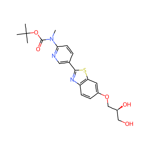 CN(C(=O)OC(C)(C)C)c1ccc(-c2nc3ccc(OC[C@@H](O)CO)cc3s2)cn1